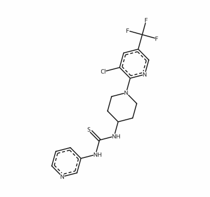 FC(F)(F)c1cnc(N2CCC(NC(=S)Nc3cccnc3)CC2)c(Cl)c1